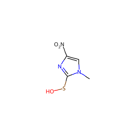 Cn1cc([N+](=O)[O-])nc1SO